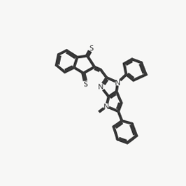 Cn1c(-c2ccccc2)cc2c1nc(C=C1C(=S)c3ccccc3C1=S)n2-c1ccccc1